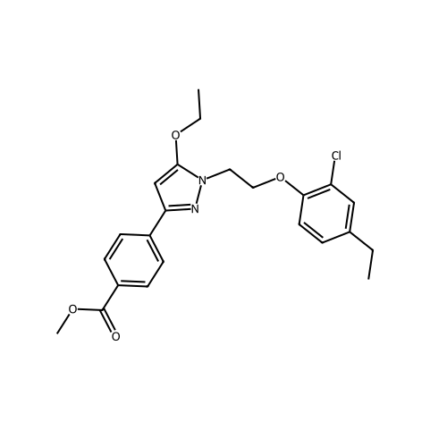 CCOc1cc(-c2ccc(C(=O)OC)cc2)nn1CCOc1ccc(CC)cc1Cl